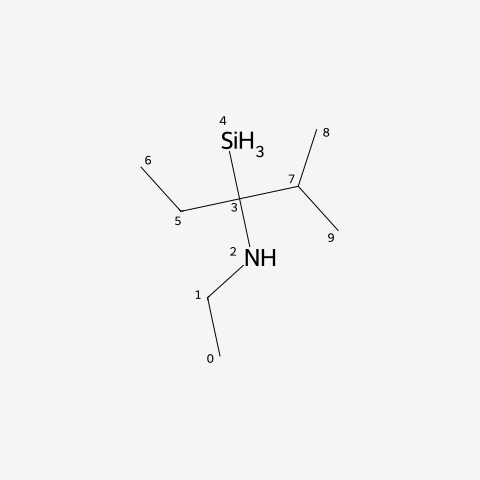 CCNC([SiH3])(CC)C(C)C